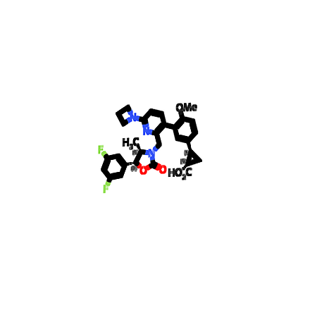 COc1ccc([C@H]2C[C@@H]2C(=O)O)cc1-c1ccc(N2CCC2)nc1CN1C(=O)O[C@H](c2cc(F)cc(F)c2)[C@@H]1C